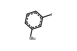 CC(C)(C)c1c[c]cc(I)c1